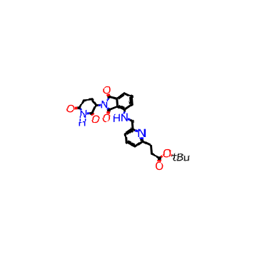 CC(C)(C)OC(=O)CCc1cccc(CNc2cccc3c2C(=O)N(C2CCC(=O)NC2=O)C3=O)n1